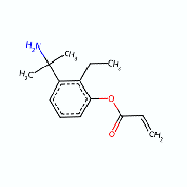 C=CC(=O)Oc1cccc(C(C)(C)N)c1CC